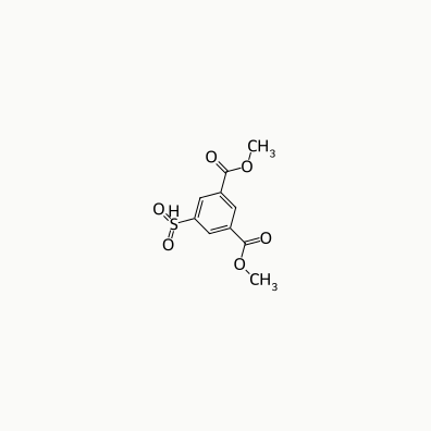 COC(=O)c1cc(C(=O)OC)cc([SH](=O)=O)c1